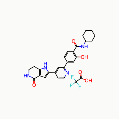 O=C(NC1CCCCC1)c1ccc(-c2cc(-c3cc4c([nH]3)CCNC4=O)ccn2)cc1O.O=C(O)C(F)(F)F